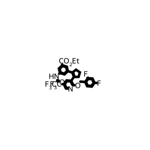 CCOC(=O)c1cc(NC(=O)C(F)(F)F)cc(C2=C(c3cc(C(F)(F)F)cnc3OCc3ccc(F)cc3F)CCC2)c1